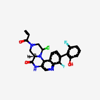 C=CC(=O)N1CC(Cl)N2c3c(cnc4c(F)c(-c5c(O)cccc5F)ccc34)NC(=O)[C@H]2C1